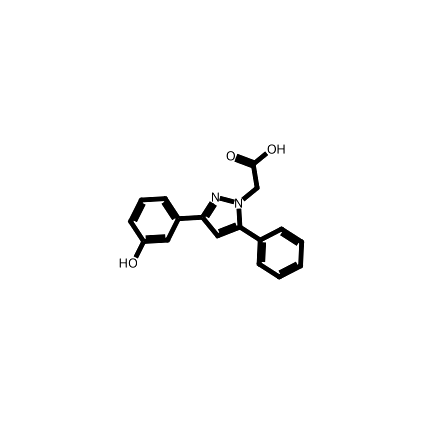 O=C(O)Cn1nc(-c2cccc(O)c2)cc1-c1ccccc1